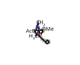 C=CCN1CCC2(c3cccc(OC)c3)CC(N(C)C(=O)CCCCCc3ccccc3)CC(OC(C)=O)C2C1